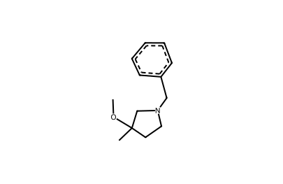 COC1(C)CCN(Cc2ccccc2)C1